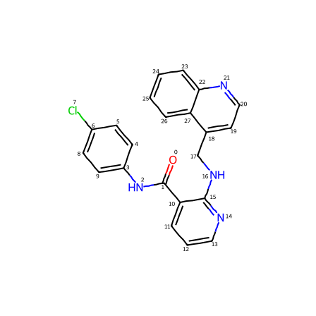 O=C(Nc1ccc(Cl)cc1)c1cccnc1NCc1ccnc2ccccc12